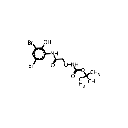 CC(C)(C)OC(=O)NOCC(=O)Nc1cc(Br)cc(Br)c1O